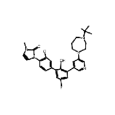 Cn1c#cn(-c2ccc(-c3cc(F)cc(-c4cncc(N5CCCN(C(C)(C)C)CC5)c4)c3O)cc2Cl)c1=O